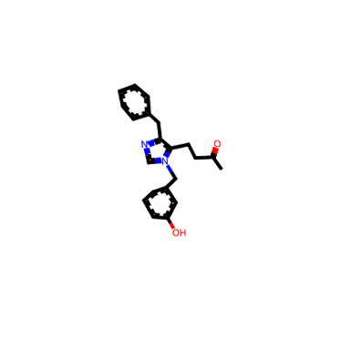 CC(=O)CCc1c(Cc2ccccc2)ncn1Cc1cccc(O)c1